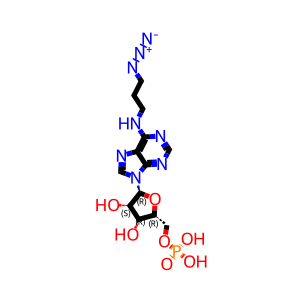 [N-]=[N+]=NCCCNc1ncnc2c1ncn2[C@@H]1O[C@H](COP(=O)(O)O)[C@H](O)[C@@H]1O